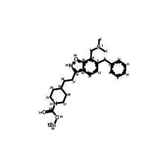 CN(C)Cc1c(Cc2ccccc2)ccc2c(CCC3CCN(C(=O)OC(C)(C)C)CC3)noc12